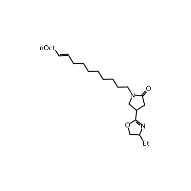 CCCCCCCCC=CCCCCCCCCN1CC(C2=NC(CC)CO2)CC1=O